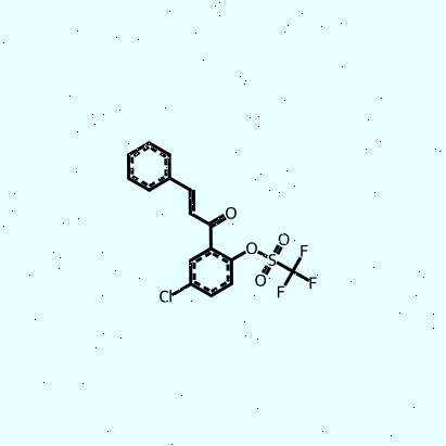 O=C(/C=C/c1ccccc1)c1cc(Cl)ccc1OS(=O)(=O)C(F)(F)F